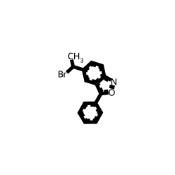 CC(Br)c1ccc2noc(-c3ccccc3)c2c1